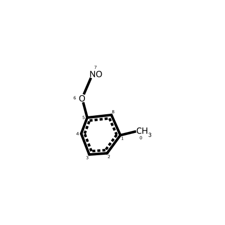 Cc1cccc(ON=O)c1